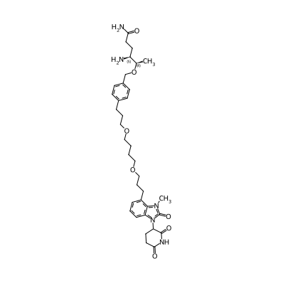 C[C@@H](OCc1ccc(CCCOCCCCOCCCc2cccc3c2n(C)c(=O)n3C2CCC(=O)NC2=O)cc1)[C@@H](N)CCC(N)=O